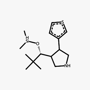 C[SiH](C)O[C@H](C1CNCC1c1ccsc1)C(C)(C)C